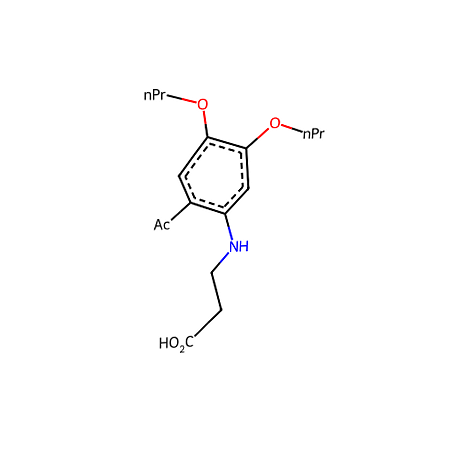 CCCOc1cc(NCCC(=O)O)c(C(C)=O)cc1OCCC